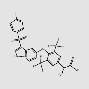 N[C@H](C(=O)O)c1cc(C(F)(F)F)c(Oc2ccc3[nH]cc(S(=O)(=O)c4ccc(F)cc4)c3c2)c(C(F)(F)F)c1